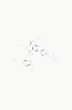 CC[C@@H](C)n1cc(C)c2c(C(=O)NCc3c(OC)[nH]c(C)cc3=O)cc(-c3ccc(N4CCNCC4)nc3)cc21